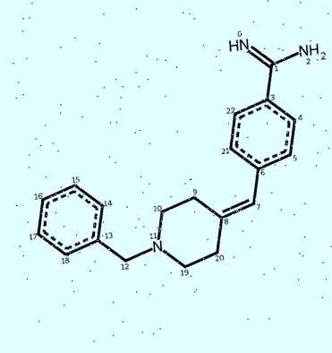 N=C(N)c1ccc(C=C2CCN(Cc3ccccc3)CC2)cc1